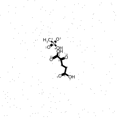 CS(=O)(=O)O.O=C(O)CCC(=O)C(=O)O